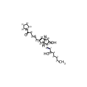 CCCCC[C@H](O)/C=C/[C@@H]1[C@H]2CC(CSCCC(=O)N3CCCC3)=C[C@H]2C[C@H]1O